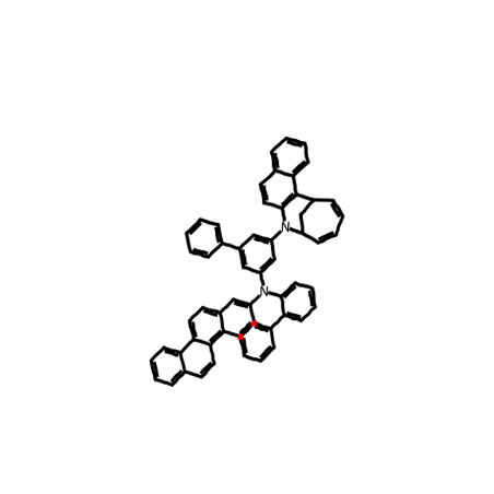 C1=CC2CC(C=C1)N(c1cc(-c3ccccc3)cc(N(c3ccc4c(ccc5c6ccccc6ccc45)c3)c3ccccc3-c3ccccc3)c1)c1ccc3ccccc3c12